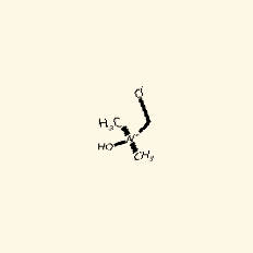 C[N+](C)(O)CCl